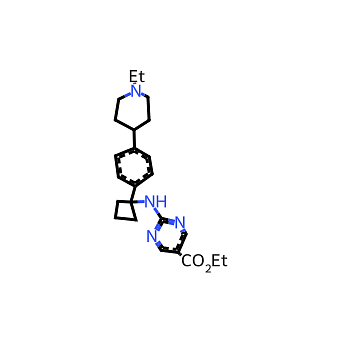 CCOC(=O)c1cnc(NC2(c3ccc(C4CCN(CC)CC4)cc3)CCC2)nc1